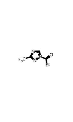 CCC(=O)n1cnc(C(F)(F)F)n1